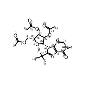 CC(=O)OC[C@H]1O[C@@H](n2c(C(F)(F)F)nc3c(=O)[nH]cnc32)C(OC(C)=O)[C@H]1OC(C)=O